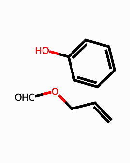 C=CCOC=O.Oc1ccccc1